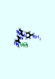 Cl.Cl.Cn1cc(-c2cn3nccc3c(N3CCC(CN)CC3)n2)cn1